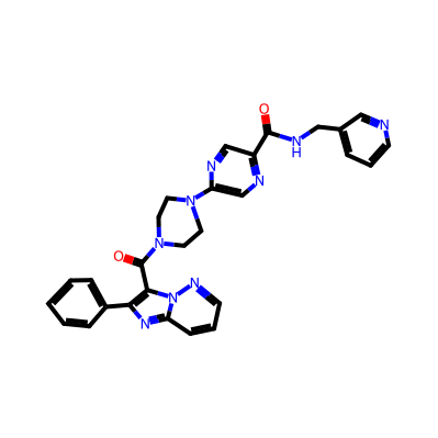 O=C(NCc1cccnc1)c1cnc(N2CCN(C(=O)c3c(-c4ccccc4)nc4cccnn34)CC2)cn1